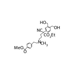 CCOC(=O)C(C#N)(CCCN(C)CCc1ccc(C(=O)OC)cc1)c1ccc(CO)c(CO)c1